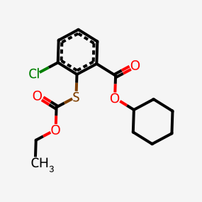 CCOC(=O)Sc1c(Cl)cccc1C(=O)OC1CCCCC1